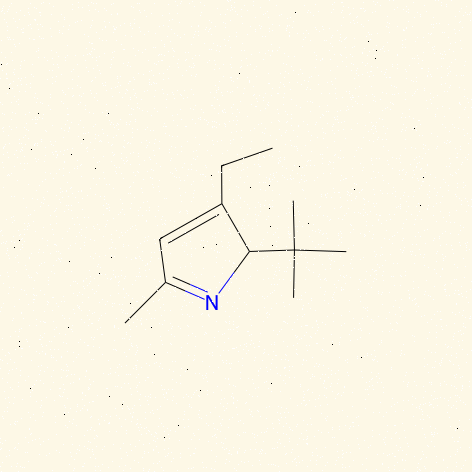 CCC1=CC(C)=NC1C(C)(C)C